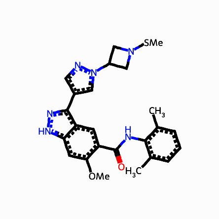 COc1cc2[nH]nc(-c3cnn(C4CN(SC)C4)c3)c2cc1C(=O)Nc1c(C)cccc1C